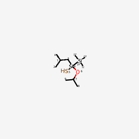 CC(C)C[Si](S)(OC(C)C)[Si](C)(C)C